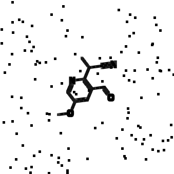 COc1cnc(C(C)C#N)c(C=O)c1